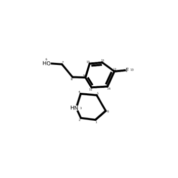 C1CCNCC1.OCCc1ccc(F)cc1